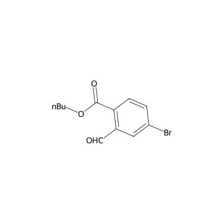 CCCCOC(=O)c1ccc(Br)cc1C=O